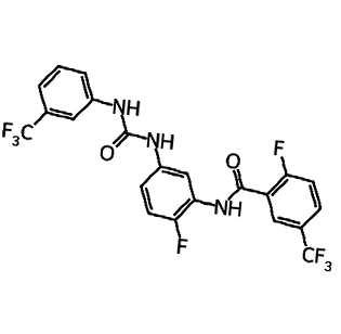 O=C(Nc1cccc(C(F)(F)F)c1)Nc1ccc(F)c(NC(=O)c2cc(C(F)(F)F)ccc2F)c1